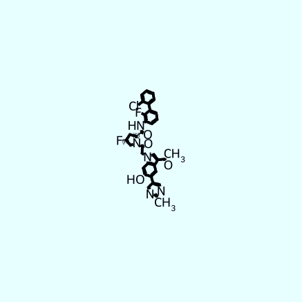 CC(=O)c1cn(CC(=O)N2C[C@H](F)C[C@H]2C(=O)Nc2cccc(-c3ccccc3Cl)c2F)c2cc(O)c(-c3cnc(C)nc3)cc12